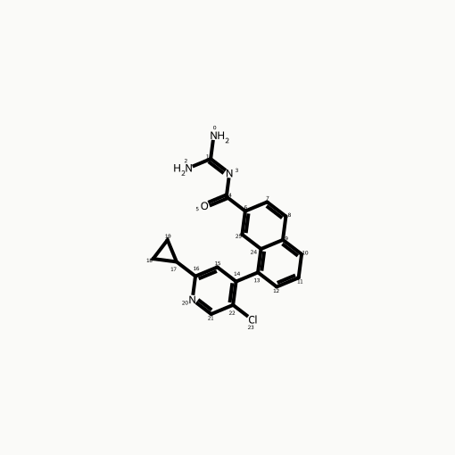 NC(N)=NC(=O)c1ccc2cccc(-c3cc(C4CC4)ncc3Cl)c2c1